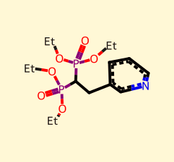 CCOP(=O)(OCC)C(Cc1cccnc1)P(=O)(OCC)OCC